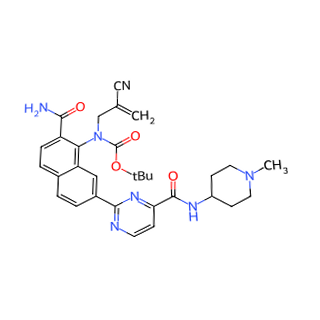 C=C(C#N)CN(C(=O)OC(C)(C)C)c1c(C(N)=O)ccc2ccc(-c3nccc(C(=O)NC4CCN(C)CC4)n3)cc12